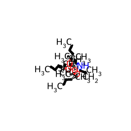 C=C(C)C(=O)NC(CC)[Si](O[Si](C)(C)CCCC)(O[Si](C)(C)CCCC)O[Si](C)(C)CCCC